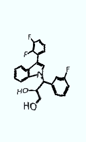 OC[C@@H](O)[C@H](c1cccc(F)c1)n1cc(-c2cccc(F)c2F)c2ccccc21